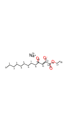 CCCCCCCCCC(=O)C=C([O-])C(=O)OCC.[Na+]